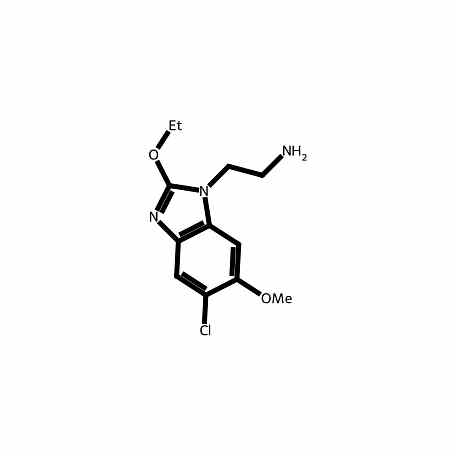 CCOc1nc2cc(Cl)c(OC)cc2n1CCN